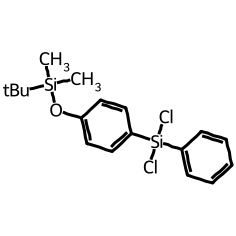 CC(C)(C)[Si](C)(C)Oc1ccc([Si](Cl)(Cl)c2ccccc2)cc1